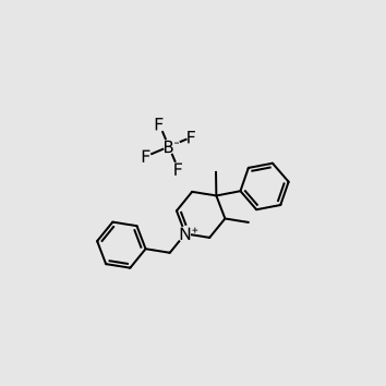 CC1C[N+](Cc2ccccc2)=CCC1(C)c1ccccc1.F[B-](F)(F)F